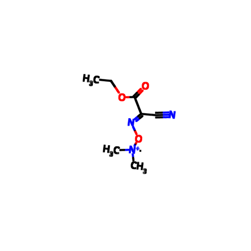 CCOC(=O)C(C#N)=NO[N+](C)C